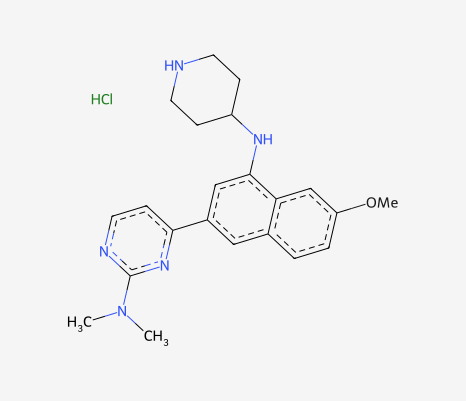 COc1ccc2cc(-c3ccnc(N(C)C)n3)cc(NC3CCNCC3)c2c1.Cl